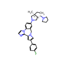 CC[C@]1(C)CN(c2ccc3c(c2)Cn2cc(-c4ccc(F)cc4)cc2-c2nccn2-3)C[C@H]1CN1CCCC1